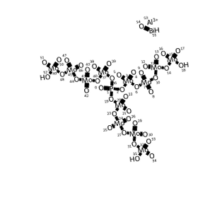 O=P([O][Mo](=[O])(=[O])[O][Mo](=[O])(=[O])[O][Mo](=[O])(=[O])[O][Mo](=[O])(=[O])[OH])([O][Mo](=[O])(=[O])[O][Mo](=[O])(=[O])[O][Mo](=[O])(=[O])[O][Mo](=[O])(=[O])[OH])[O][Mo](=[O])(=[O])[O][Mo](=[O])(=[O])[O][Mo](=[O])(=[O])[O][Mo](=[O])(=[O])[OH].[Al+3].[O]=[BiH]